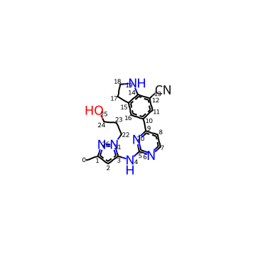 Cc1cc(Nc2nccc(-c3cc(C#N)c4c(c3)CCN4)n2)n(CCCO)n1